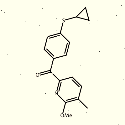 COc1nc(C(=O)c2ccc(SC3CC3)cc2)ccc1C